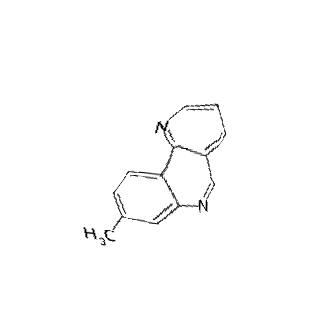 Cc1ccc2c(c1)ncc1cccnc12